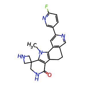 Cn1c2c(c3c1C1(CNC1)CNC3=O)CCc1cnc(-c3ccc(F)nc3)cc1-2